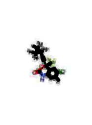 [2H]C1([2H])C([2H])(C)C1([2H])C#C[C@]1(C(F)(F)F)OC(=O)Nc2cc(C)c(Cl)cc21